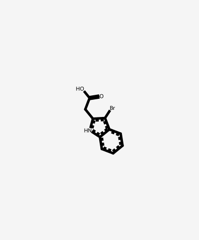 O=C(O)Cc1[nH]c2ccccc2c1Br